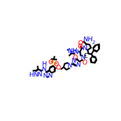 CNC(C)C(=O)NC1CN(C(=O)c2cnc(N3CCC(COc4cc5ncnc(Nc6n[nH]c(C)c6C)c5cc4S(=O)(=O)C(C)(C)C)CC3)cn2)CC(C(c2ccccc2)c2ccccc2)C2CCC(C(N)=O)N2C1=O